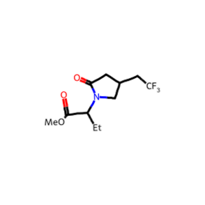 CCC(C(=O)OC)N1CC(CC(F)(F)F)CC1=O